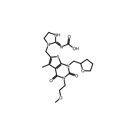 COCCn1c(=O)c2c(C)c(CN3CCN/C3=N\C(=O)O)sc2n(CC2CCCO2)c1=O